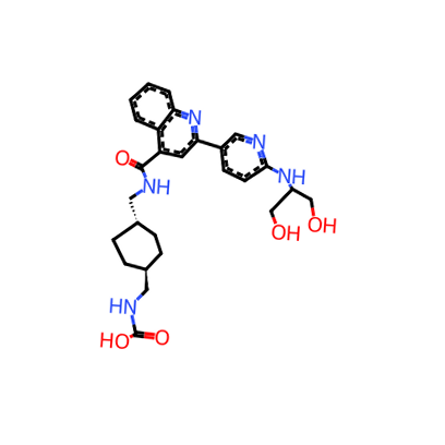 O=C(O)NC[C@H]1CC[C@H](CNC(=O)c2cc(-c3ccc(NC(CO)CO)nc3)nc3ccccc23)CC1